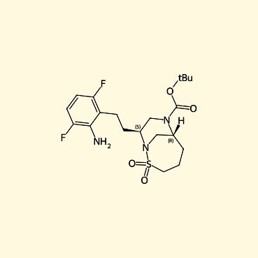 CC(C)(C)OC(=O)N1C[C@H](CCc2c(F)ccc(F)c2N)N2C[C@H]1CCCS2(=O)=O